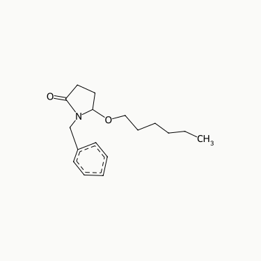 CCCCCCOC1CCC(=O)N1Cc1ccccc1